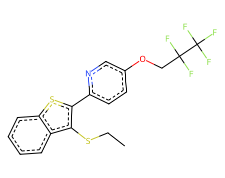 CCSc1c(-c2ccc(OCC(F)(F)C(F)(F)F)cn2)sc2ccccc12